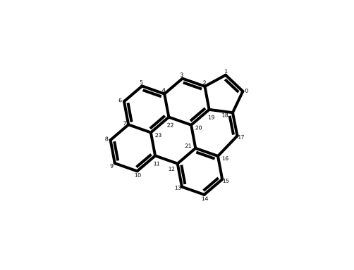 C1=Cc2cc3ccc4cccc5c6cccc7cc1c2c(c76)c3c45